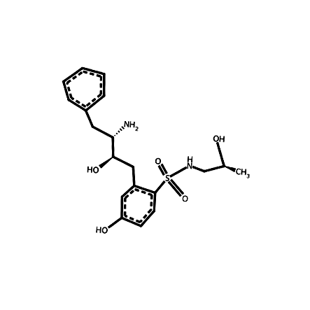 C[C@H](O)CNS(=O)(=O)c1ccc(O)cc1C[C@@H](O)[C@@H](N)Cc1ccccc1